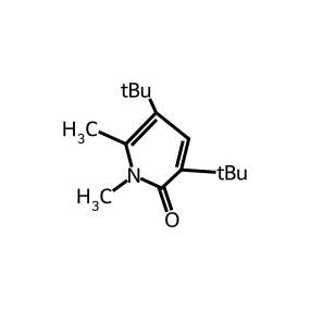 Cc1c(C(C)(C)C)cc(C(C)(C)C)c(=O)n1C